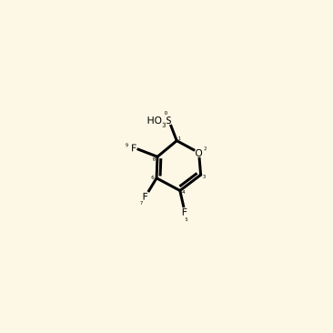 O=S(=O)(O)C1OC=C(F)C(F)=C1F